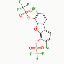 O=S(=O)(Oc1c(Br)ccc2c1oc1c(OS(=O)(=O)C(F)(F)F)c(Br)ccc12)C(F)(F)F